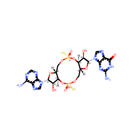 Nc1nc2c(ncn2[C@@H]2O[C@@H]3CO[P@@](=O)(S)O[C@H]4[C@@H](O)[C@H](n5cnc6c(N)ncnc65)O[C@@H]4CO[P@](=O)(S)O[C@H]3[C@H]2O)c(=O)[nH]1